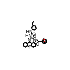 CCc1cccc(NC(=O)NC2N=C(c3ccccc3F)c3ccccc3N(CC(=O)N3CC4CCC(CC4)C3)C2=O)c1